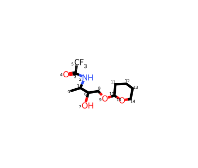 CC(NC(=O)C(F)(F)F)C(O)COC1CCCCO1